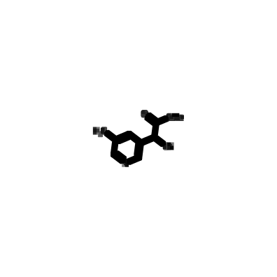 COC(=O)C(C#N)c1cncc(C)c1